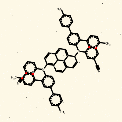 Cc1ccc(-c2ccc(N(C3=C4C=CC5=C6C(=CC=C(C=C3)C46)C(N(c3cccc(C#N)c3)c3ccc(-c4ccc(C)cc4)cc3-c3ccc(C)cc3)C=C5)c3cccc(C#N)c3)c(-c3ccc(C)cc3)c2)cc1